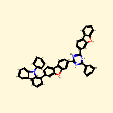 c1ccc(-c2nc(-c3ccc4c(c3)oc3ccccc34)nc(-c3ccc4c(c3)oc3cc(-c5cccc6c7ccccc7n(-c7ccccc7)c56)ccc34)n2)cc1